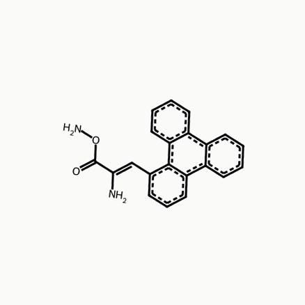 NOC(=O)C(N)=Cc1cccc2c3ccccc3c3ccccc3c12